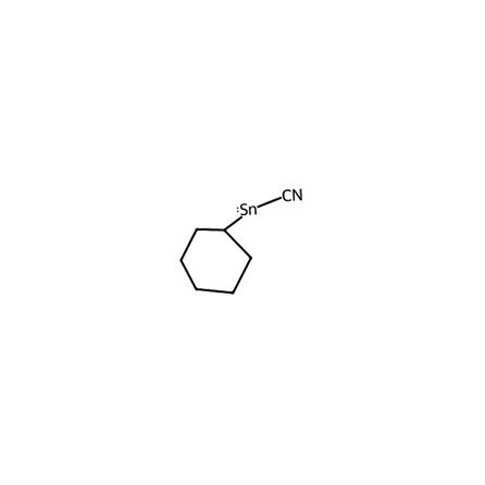 N#[C][Sn][CH]1CCCCC1